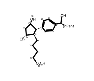 CCCCC[C@H](O)c1ccc([C@@H]2[C@@H](CCCCC(=O)O)[C@H](Cl)C[C@H]2O)cc1